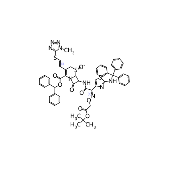 Cn1nnnc1S/C=C/C1=C(C(=O)OC(c2ccccc2)c2ccccc2)N2C(=O)C(NC(=O)/C(=N\OCC(=O)OC(C)(C)C)c3csc(NC(c4ccccc4)(c4ccccc4)c4ccccc4)n3)C2[S+]([O-])C1